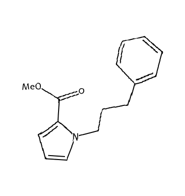 COC(=O)c1cccn1CCCc1ccccc1